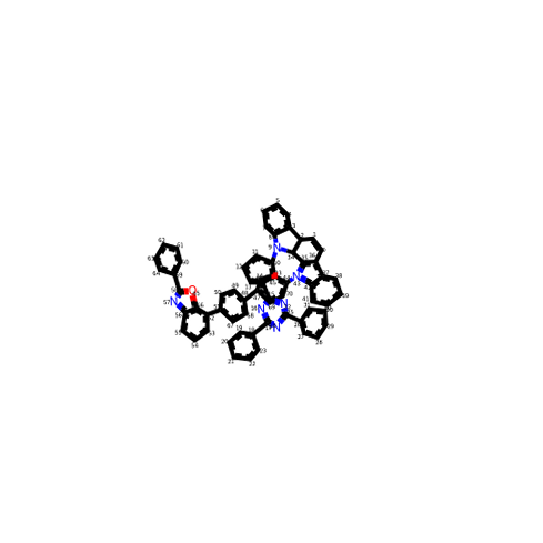 C1=CC2c3ccccc3N(c3cccc(-c4nc(-c5ccccc5)nc(-c5ccccc5)n4)c3)C2c2c1c1ccccc1n2-c1ccc(-c2ccc(-c3cccc4nc(-c5ccccc5)oc34)cc2)cc1